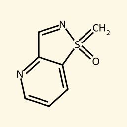 C=S1(=O)N=Cc2ncccc21